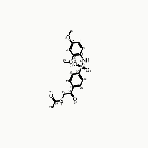 COc1ccc(NS(=O)(=O)c2ccc(C(=O)CSC(C)=O)cc2)c(OC)c1